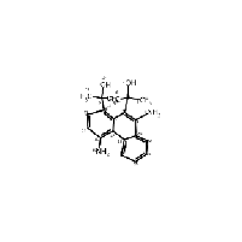 Nc1c(C(O)(C(F)(F)F)C(F)(F)F)c2c(C(O)(C(F)(F)F)C(F)(F)F)ccc(N)c2c2ccccc12